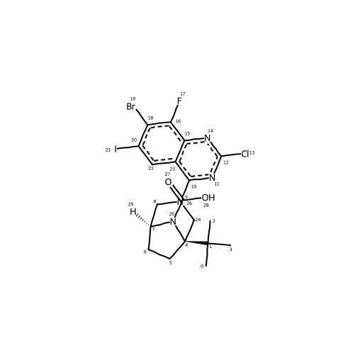 CC(C)(C)[C@]12CC[C@@H](CN(c3nc(Cl)nc4c(F)c(Br)c(I)cc34)C1)N2C(=O)O